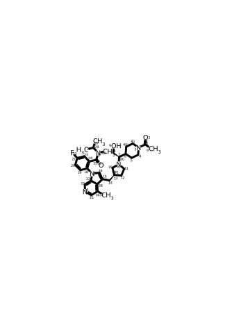 CC(=O)N1CCC([C@H](CO)N2CC[C@@H](Cc3cn(-c4ccc(F)cc4C(=O)N(C)C(C)C)c4cncc(C)c34)C2)CC1